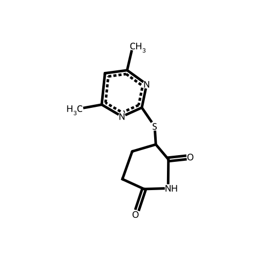 Cc1cc(C)nc(SC2CCC(=O)NC2=O)n1